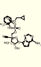 CC(NP(=O)(OC[C@@]1(C#N)O[C@@H](c2ccc3c(N)ncnn23)[C@H](O)[C@@H]1O)Oc1ccccc1)C(=O)OCC1CC1